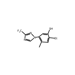 CCc1cc(C)c(-n2cnc(C(F)(F)F)n2)cc1S